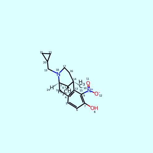 C[C@@H]1[C@H]2Cc3ccc(O)c([N+](=O)[O-])c3[C@]1(C)CCN2CC1CC1